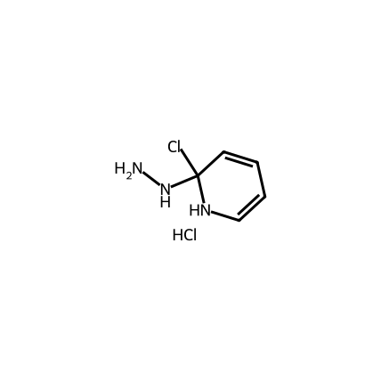 Cl.NNC1(Cl)C=CC=CN1